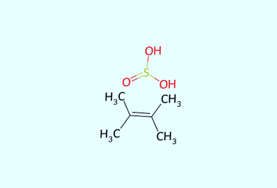 CC(C)=C(C)C.O=S(O)O